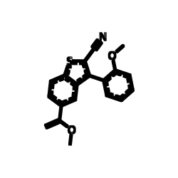 C=C(OC)c1ccc2sc(C#N)c(-c3ccccc3OC)c2c1